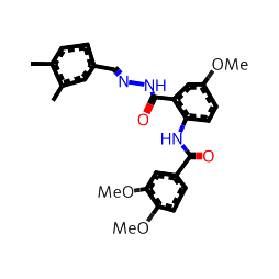 COc1ccc(NC(=O)c2ccc(OC)c(OC)c2)c(C(=O)NN=Cc2ccc(C)c(C)c2)c1